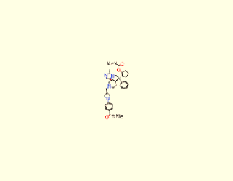 CNC(=O)O[C@H]1CCC[C@@H]1C(Cn1ccnc1C)(c1ccccc1)C1CCN(CC2CN(c3ccc(C(=O)NC)cc3)C2)CC1